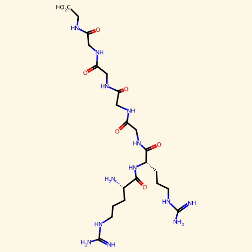 N=C(N)NCCC[C@H](NC(=O)[C@@H](N)CCCNC(=N)N)C(=O)NCC(=O)NCC(=O)NCC(=O)NCC(=O)NCC(=O)O